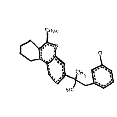 COc1nc2cc(C(C)(C#N)Cc3cccc(Cl)c3)ccc2c2c1CCCC2